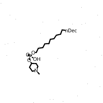 CCCCCCCCCCCCCCCCCCCCOP(=O)(O)OC1CCN(C)CC1